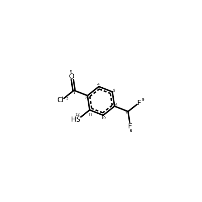 O=C(Cl)c1ccc(C(F)F)cc1S